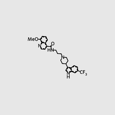 COc1cccc2c(C(=O)NCCCN3CCC(c4c[nH]c5cc(C(F)(F)F)ccc45)CC3)ccnc12